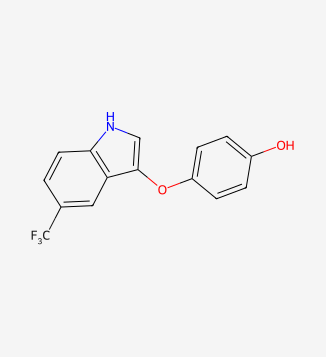 Oc1ccc(Oc2c[nH]c3ccc(C(F)(F)F)cc23)cc1